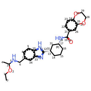 CCOC(C)NCc1ccc2[nH]c([C@H]3CCC[C@@H](NC(=O)c4ccc5c(c4)OCCO5)C3)nc2c1